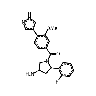 COc1cc(C(=O)N2C[C@H](N)C[C@@H]2c2ccccc2F)ccc1-c1cn[nH]c1